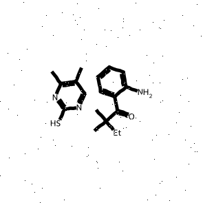 CCC(C)(C)C(=O)c1ccccc1N.Cc1cnc(S)nc1C